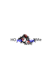 CNC(C)CCC(C)NC(=O)C(CCC[Si](C)(C)O[Si](C)(C)CCCC(CC(=O)O)C(=O)NC(C)CCC(C)NC)CC(=O)O